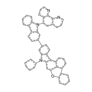 c1ccc(-n2c3cc(-c4ccc5c6ccccc6n(-c6cc7cccnc7c7ncccc67)c5c4)ccc3c3c4cccc5c4c(cc32)Oc2ccccc2-5)cc1